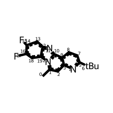 Cc1cc2nc(C(C)(C)C)ccc2c2nc3cc(F)c(F)cc3n12